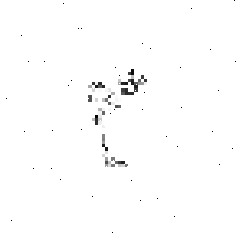 CCCCCCCCCCCCCCCCN(C)OC[C@H]1O[C@@H](n2ccc(=O)[nH]c2=O)C(OC)C1O